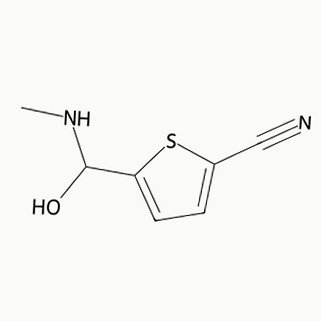 CNC(O)c1ccc(C#N)s1